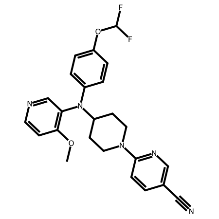 COc1ccncc1N(c1ccc(OC(F)F)cc1)C1CCN(c2ccc(C#N)cn2)CC1